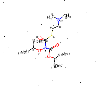 CCCCCCCCCCC(CCCCCCCCC)OC(=O)N(OC(CCCCCCCCC)CCCCCCCCCC)C(=O)SCCN(C)C